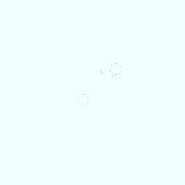 CCC(C(=O)O)[C@@H]1CCc2cc(OCCCNc3nc(Cl)ccc3C(F)(F)F)ccc21